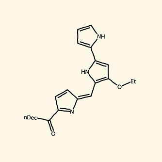 CCCCCCCCCCC(=O)C1=N/C(=C/c2[nH]c(-c3ccc[nH]3)cc2OCC)C=C1